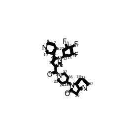 O=C(c1cc(-c2cccnc2)n(-c2cc(F)c(F)c(F)c2)n1)N1CCC(N2C(=O)Cc3ncccc32)CC1